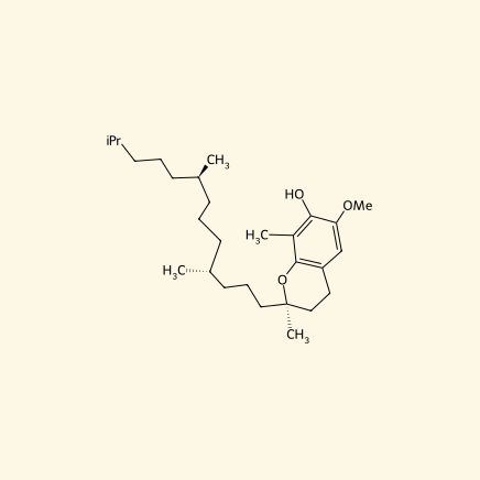 COc1cc2c(c(C)c1O)O[C@](C)(CCC[C@H](C)CCC[C@H](C)CCCC(C)C)CC2